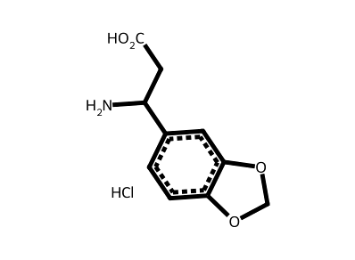 Cl.NC(CC(=O)O)c1ccc2c(c1)OCO2